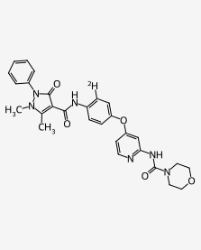 [2H]c1cc(Oc2ccnc(NC(=O)N3CCOCC3)c2)ccc1NC(=O)c1c(C)n(C)n(-c2ccccc2)c1=O